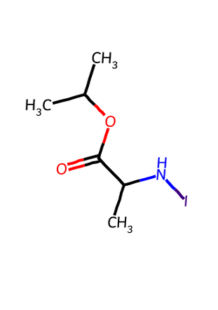 CC(C)OC(=O)C(C)NI